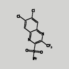 CC(C)S(=O)(=O)c1nc2cc(Cl)c(Cl)cc2nc1C(F)(F)F